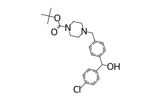 CC(C)(C)OC(=O)N1CCN(Cc2ccc(C(O)c3ccc(Cl)cc3)cc2)CC1